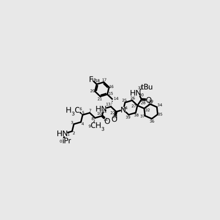 CC(C)NCCC[C@@H](C)C[C@@H](C)C(=O)N[C@H](Cc1ccc(F)cc1)C(=O)N1CCC(C(=O)NC(C)(C)C)(C2CCCCC2)CC1